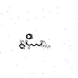 C1=CC2CCC1C2.C[C@@H]1CC=N[C@H]1C(=O)NCCCC[C@H](N)C(=O)O